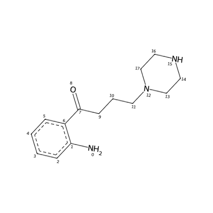 Nc1ccccc1C(=O)CCCN1CCNCC1